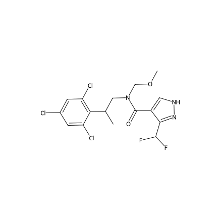 COCN(CC(C)c1c(Cl)cc(Cl)cc1Cl)C(=O)c1c[nH]nc1C(F)F